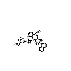 O=C[C@H](CC(=O)O)NC(=O)CN1C(=O)C(NC(=O)c2cccc3ccccc23)CN(C=O)c2ccccc21